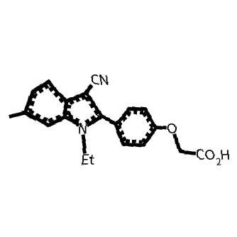 CCn1c(-c2ccc(OCC(=O)O)cc2)c(C#N)c2ccc(C)cc21